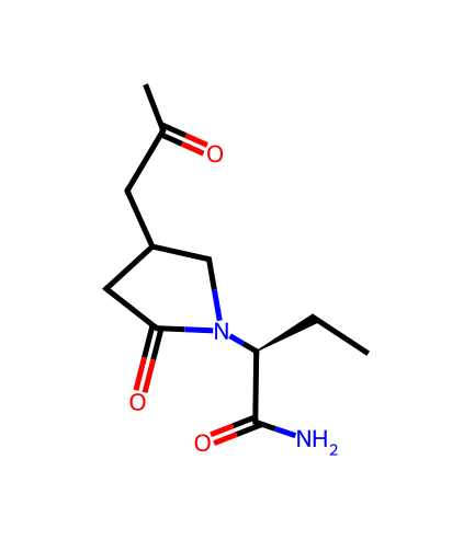 CC[C@@H](C(N)=O)N1CC(CC(C)=O)CC1=O